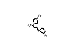 CC(C)C1CN(CCCC(C)N2CCN(C(C)C)CC2)CCO1